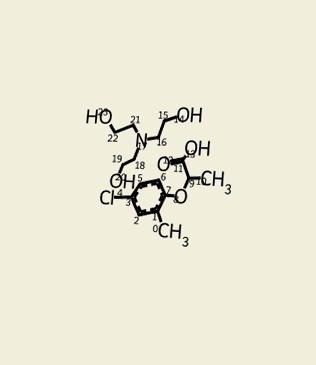 Cc1cc(Cl)ccc1OC(C)C(=O)O.OCCN(CCO)CCO